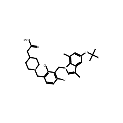 COC(=O)CC1CCN(Cc2ccc(Cl)c(Cn3cc(C)c4cc(OC(C)(C)F)cc(C)c43)c2Cl)CC1